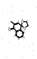 CC1=CC2(OCCO2)c2ccccc2C1=O